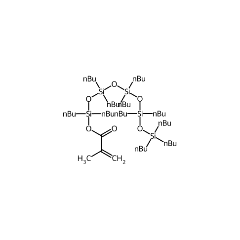 C=C(C)C(=O)O[Si](CCCC)(CCCC)O[Si](CCCC)(CCCC)O[Si](CCCC)(CCCC)O[Si](CCCC)(CCCC)O[Si](CCCC)(CCCC)CCCC